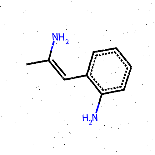 CC(N)=Cc1ccccc1N